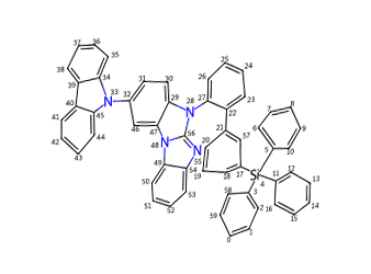 c1ccc([Si](c2ccccc2)(c2ccccc2)c2cccc(-c3ccccc3-n3c4ccc(-n5c6ccccc6c6ccccc65)cc4n4c5ccccc5nc34)c2)cc1